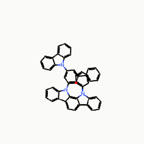 c1ccc(-c2cc(-n3c4ccccc4c4ccccc43)cc(-n3c4ccccc4c4ccc5c6ccccc6n(-c6ccccc6)c5c43)c2)cc1